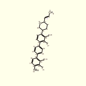 C/C=C/C1CCC(c2ccc(-c3ccc(-c4ccc(CCCC)c(F)c4F)cc3)c(F)c2F)CO1